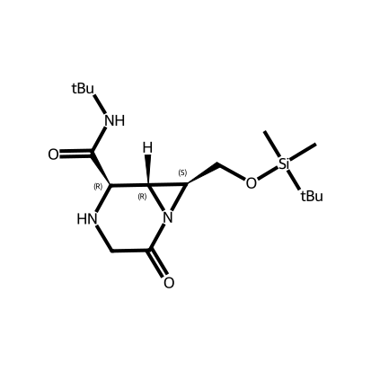 CC(C)(C)NC(=O)[C@@H]1NCC(=O)N2[C@H]1[C@H]2CO[Si](C)(C)C(C)(C)C